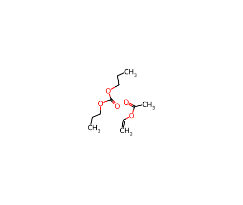 C=COC(C)=O.CCCOC(=O)OCCC